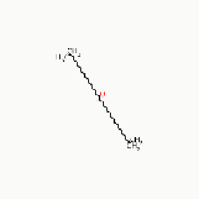 CC(C)CCCCCCCCCCCCCC[CH]C(=O)CCCCCCCCCCCCCCC(C)C